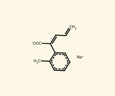 C=C/C=C(/C(=O)[O-])c1ccccc1C.[Na+]